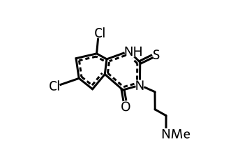 CNCCCn1c(=S)[nH]c2c(Cl)cc(Cl)cc2c1=O